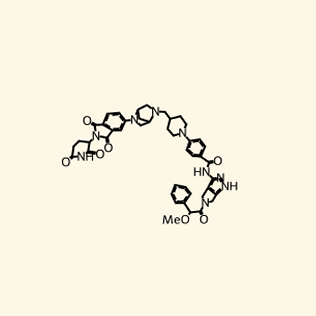 COC(C(=O)N1Cc2[nH]nc(NC(=O)c3ccc(N4CCC(CN5CC6CC5CN6c5ccc6c(c5)C(=O)N(C5CCC(=O)NC5=O)C6=O)CC4)cc3)c2C1)c1ccccc1